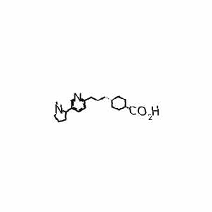 CN1CCCC1c1ccc(CCC[C@H]2CC[C@H](C(=O)O)CC2)nc1